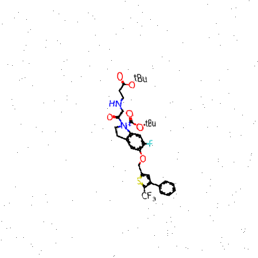 CC(C)(C)OC(=O)CCNCC(=O)[N+]1(C(=O)OC(C)(C)C)CCc2cc(OCc3cc(-c4ccccc4)c(C(F)(F)F)s3)c(F)cc21